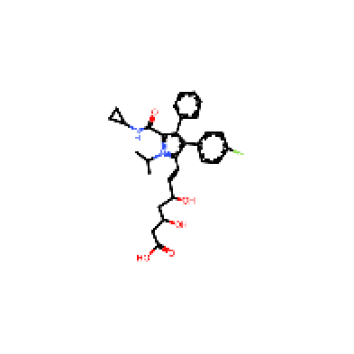 CC(C)n1c(C=CC(O)CC(O)CC(=O)O)c(-c2ccc(F)cc2)c(-c2ccccc2)c1C(=O)NC1CC1